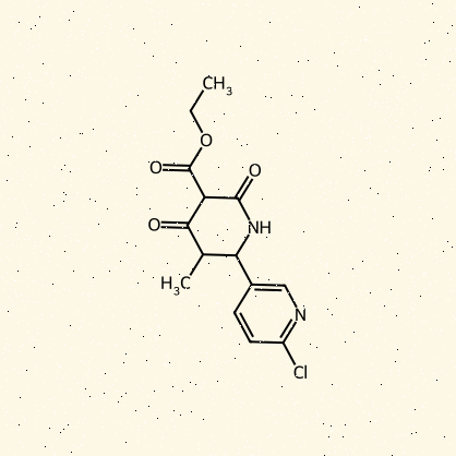 CCOC(=O)C1C(=O)NC(c2ccc(Cl)nc2)C(C)C1=O